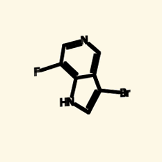 Fc1cncc2c(Br)c[nH]c12